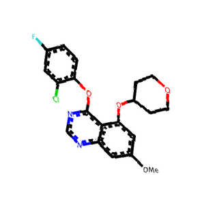 COc1cc(OC2CCOCC2)c2c(Oc3ccc(F)cc3Cl)ncnc2c1